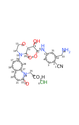 Cl.N#Cc1ccc(NC(=O)[C@H](O)[C@H]2OCCN(c3ccc4ccc(=O)n(CC(=O)O)c4c3)C2=O)cc1CN